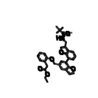 CCOC(=O)Cc1ccccc1OCc1cc(-c2cccc3c(CN[S+]([O-])C(C)(C)C)coc23)c2occc2c1